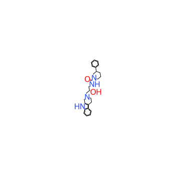 O=C(NCC(O)CN1CCc2c([nH]c3ccccc23)C1)N1CCCC(c2ccccc2)C1